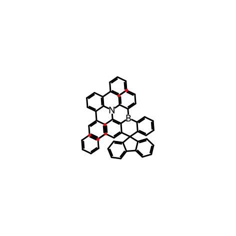 c1ccc(-c2cc3c4c(c2)C2(c5ccccc5B4c4ccccc4N3c3c(-c4ccccc4)cccc3-c3ccccc3)c3ccccc3-c3ccccc32)cc1